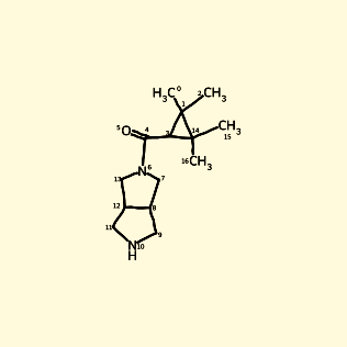 CC1(C)C(C(=O)N2CC3CNCC3C2)C1(C)C